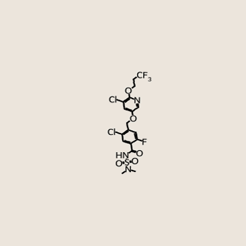 CN(C)S(=O)(=O)NC(=O)c1cc(Cl)c(COc2cnc(OCCC(F)(F)F)c(Cl)c2)cc1F